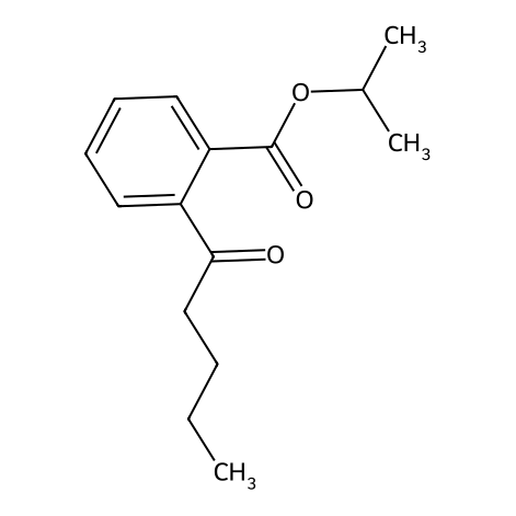 CCCCC(=O)c1ccccc1C(=O)OC(C)C